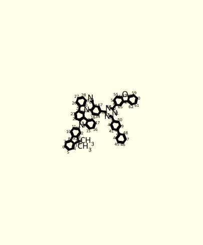 CC1(C)c2ccccc2-c2ccc(-n3c4ccccc4c4c3ccc3c5ccccc5n(-c5ccc(-c6nc(-c7ccc(-c8ccccc8)cc7)nc(-c7ccc8oc9ccccc9c8c7)n6)cc5C#N)c34)cc21